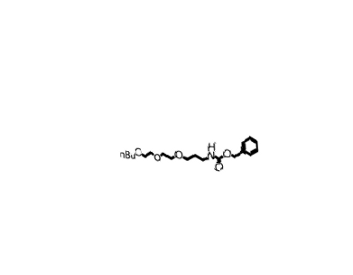 CCCCOCCOCCOCCCNC(=O)OCc1ccccc1